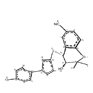 CC1(C)Oc2ccc(C#N)cc2[C@@H](Oc2ccn(-c3ccc(Cl)cc3)n2)[C@@H]1O